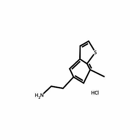 Cc1cc(CCN)cc2ccsc12.Cl